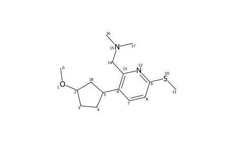 COC1CCC(c2ccc(SC)nc2CN(C)C)C1